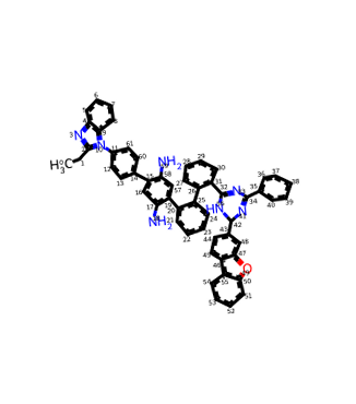 CCc1nc2ccccc2n1-c1ccc(-c2cc(N)c(-c3ccccc3-c3ccccc3C3=NC(c4ccccc4)=NC(c4ccc5c(c4)oc4ccccc45)N3)cc2N)cc1